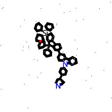 c1ccc(C2(c3ccccc3)c3cc(-c4ccc5c(c4)c4ccccc4n5-c4ccc(-c5ccncc5)cc4)ccc3-c3ccc([Si](c4ccccc4)(c4ccccc4)c4ccccc4)cc32)cc1